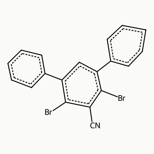 N#Cc1c(Br)c(-c2ccccc2)cc(-c2ccccc2)c1Br